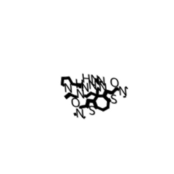 C=C(CN[C@@H](C)CC1(c2nn[nH]n2)c2cc(C(=O)N(C)C)sc2CCc2sc(C(=O)N(C)C)cc21)N1CCCC1C#N